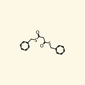 O=C(CC(=O)SCc1ccccc1)SCc1ccccc1